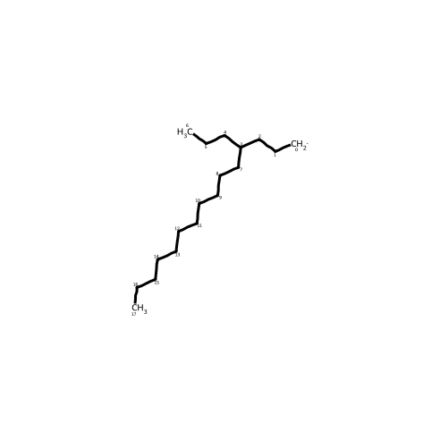 [CH2]CCC(CCC)CCCCCCCCCCC